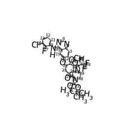 COc1cc2ncnc(Nc3cccc(Cl)c3F)c2cc1OC1CCC2(CC1)C(=O)N(C(=O)OC(C)(C)C)CCN2C(=O)C(F)(F)F